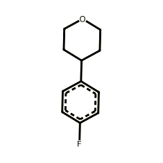 Fc1ccc(C2CCOCC2)cc1